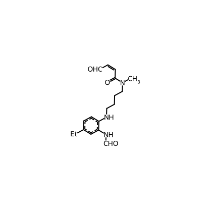 CCc1ccc(NCCCCN(C)C(=O)/C=C\C=O)c(NC=O)c1